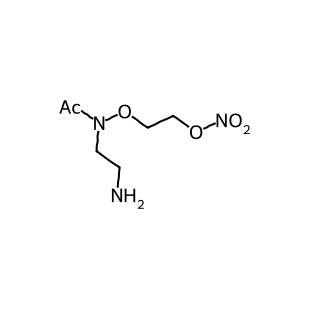 CC(=O)N(CCN)OCCO[N+](=O)[O-]